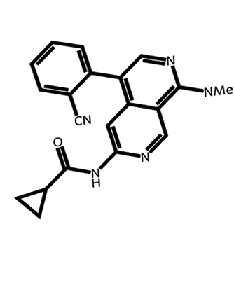 CNc1ncc(-c2ccccc2C#N)c2cc(NC(=O)C3CC3)ncc12